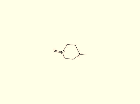 C=[N+]1CCC(C)CC1